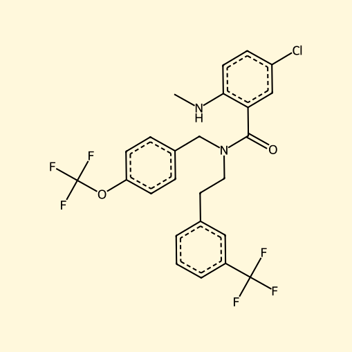 CNc1ccc(Cl)cc1C(=O)N(CCc1cccc(C(F)(F)F)c1)Cc1ccc(OC(F)(F)F)cc1